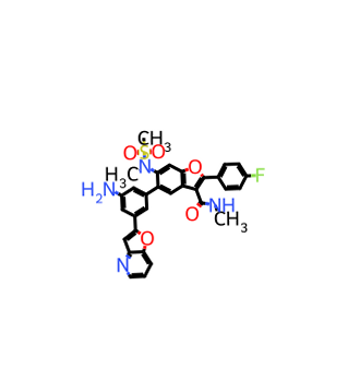 CNC(=O)c1c(-c2ccc(F)cc2)oc2cc(N(C)S(C)(=O)=O)c(-c3cc(N)cc(-c4cc5ncccc5o4)c3)cc12